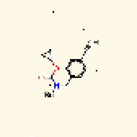 C#Cc1ccc(CN(C(=O)OC2CC2)C(C)(C)C)cc1